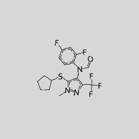 Cn1nc(C(F)(F)F)c(N(C=O)c2ccc(F)cc2F)c1SC1CCCC1